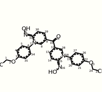 CCOc1ccc(-n2cc(C(=O)c3ccc(=NO)n(-c4ccc(OCC)cc4)c3)ccc2=NO)cc1